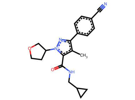 Cc1c(-c2ccc(C#N)cc2)nn(C2CCOC2)c1C(=O)NCC1CC1